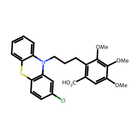 COc1cc(C(=O)O)c(CCCN2c3ccccc3Sc3ccc(Cl)cc32)c(OC)c1OC